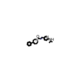 CC(C)Nc1ccc(/C=C/C(=O)N2CCC=C(c3ccccc3)CC2)cn1